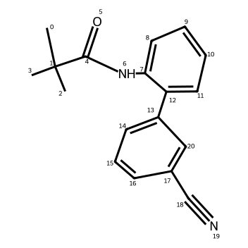 CC(C)(C)C(=O)Nc1ccccc1-c1cccc(C#N)c1